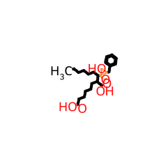 CCCCCCC(C(CCCCCC(=O)O)C(=O)O)P(=O)(O)Cc1ccccc1